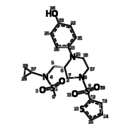 CS(=O)(=O)N(C[C@H]1CN(S(=O)(=O)c2cccs2)CCN1c1ccc(O)cc1)C1CC1